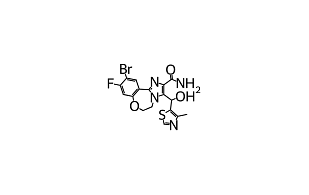 Cc1ncsc1C(O)c1c(C(N)=O)nc2n1CCOc1cc(F)c(Br)cc1-2